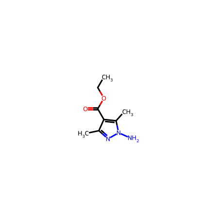 CCOC(=O)c1c(C)nn(N)c1C